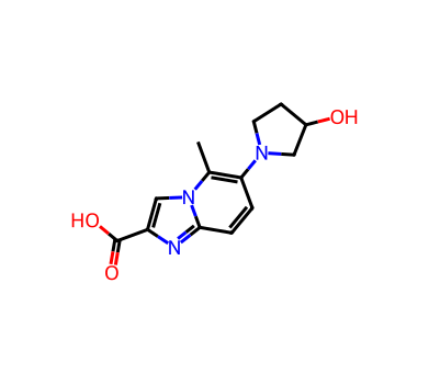 Cc1c(N2CCC(O)C2)ccc2nc(C(=O)O)cn12